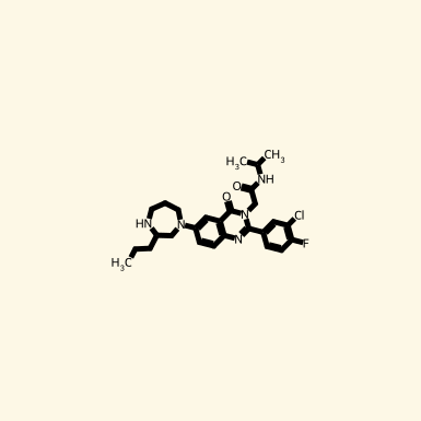 CCCC1CN(c2ccc3nc(-c4ccc(F)c(Cl)c4)n(CC(=O)NC(C)C)c(=O)c3c2)CCCN1